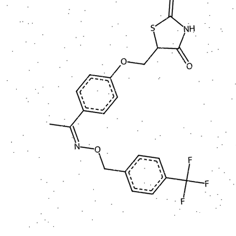 CC(=NOCc1ccc(C(F)(F)F)cc1)c1ccc(OCC2SC(=O)NC2=O)cc1